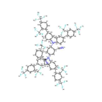 N#Cc1cc(-n2c3ccc(-c4ccc(C(F)(F)F)cc4C(F)(F)F)cc3c3cc(-c4ccc(C(F)(F)F)cc4C(F)(F)F)ccc32)c(-c2c(C#N)cccc2C(F)(F)F)cc1-n1c2ccc(-c3ccc(C(F)(F)F)cc3C(F)(F)F)cc2c2cc(-c3ccc(C(F)(F)F)cc3C(F)(F)F)ccc21